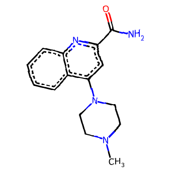 CN1CCN(c2cc(C(N)=O)nc3ccccc23)CC1